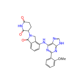 COc1ccccc1-c1nc(Nc2cccc3c2CN(C2CCC(=O)NC2=O)C3=O)c2nc[nH]c2n1